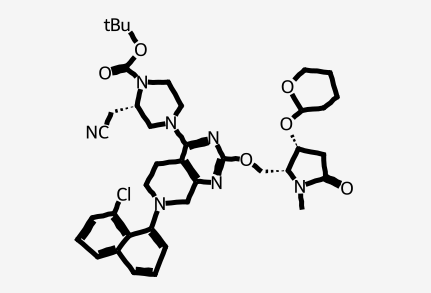 CN1C(=O)C[C@@H](OC2CCCCO2)[C@H]1COc1nc2c(c(N3CCN(C(=O)OC(C)(C)C)[C@@H](CC#N)C3)n1)CCN(c1cccc3cccc(Cl)c13)C2